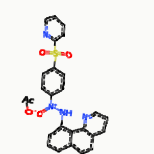 CC(=O)[O-].O=[N+](Nc1cccc2ccc3cccnc3c12)c1ccc(S(=O)(=O)c2ccccn2)cc1